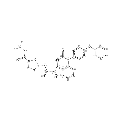 CN(C)CC(=O)N1CCC(NC(=O)c2sc3nccc4c3c2NC(=O)N4c2ccc(Oc3ccccc3)cc2)C1